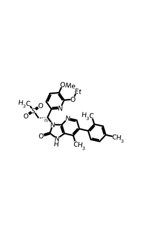 CCOc1nc([C@@H](CS(C)(=O)=O)n2c(=O)[nH]c3c(C)c(-c4ccc(C)cc4C)cnc32)ccc1OC